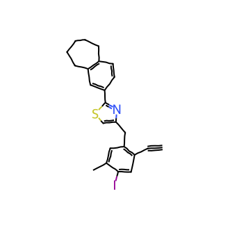 C#Cc1cc(I)c(C)cc1Cc1csc(-c2ccc3c(c2)CCCCC3)n1